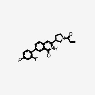 C=CC(=O)N1CCC(c2cc3ccc(-c4ccc(F)cc4F)cc3c(=O)[nH]2)C1